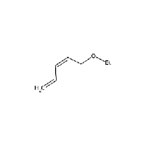 C=C/C=C\COCC